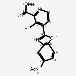 COC(=O)c1nccc(-c2nc3cc(NC(C)=O)ccc3o2)c1F